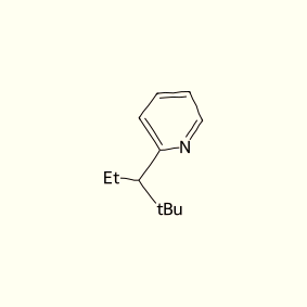 CCC(c1ccccn1)C(C)(C)C